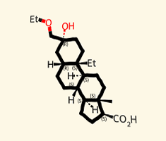 CCOC[C@@]1(O)CC[C@@]2(CC)[C@H](CC[C@H]3[C@@H]4CC[C@H](C(=O)O)[C@@]4(C)CC[C@@H]32)C1